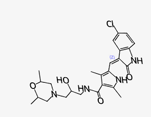 Cc1[nH]c(/C=C2\C(=O)Nc3ccc(Cl)cc32)c(C)c1C(=O)NCC(O)CN1CC(C)OC(C)C1